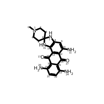 CN1CCC2(CC1)Nc1cc(N)c3c(c1N2)C(=O)c1c(N)ccc(N)c1C3=O